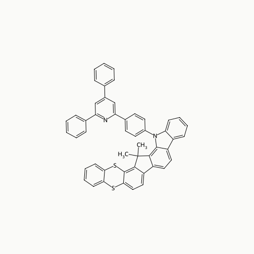 CC1(C)c2c(ccc3c2Sc2ccccc2S3)-c2ccc3c4ccccc4n(-c4ccc(-c5cc(-c6ccccc6)cc(-c6ccccc6)n5)cc4)c3c21